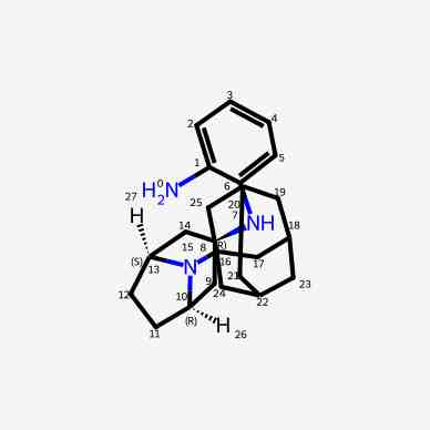 Nc1ccccc1N[C@H]1C[C@H]2CC[C@@H](C1)N2C12CC3CC(CC(C3)C1)C2